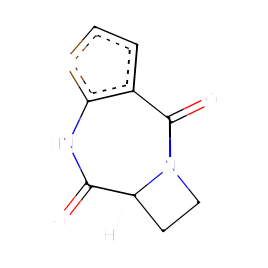 O=C1Nc2sccc2C(=O)N2CC[C@@H]12